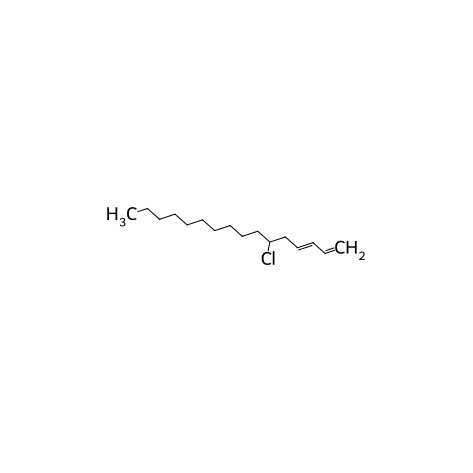 C=CC=CCC(Cl)CCCCCCCCCC